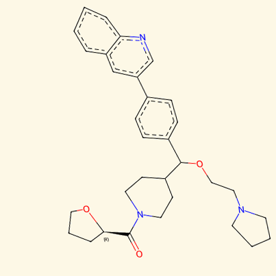 O=C([C@H]1CCCO1)N1CCC(C(OCCN2CCCC2)c2ccc(-c3cnc4ccccc4c3)cc2)CC1